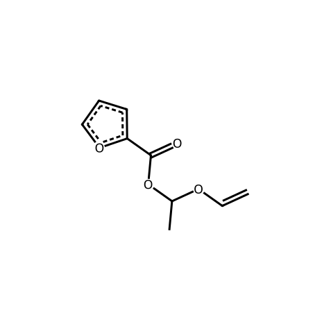 C=COC(C)OC(=O)c1ccco1